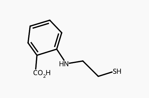 O=C(O)c1ccccc1NCCS